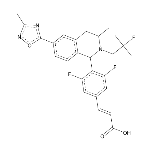 Cc1noc(-c2ccc3c(c2)CC(C)N(CC(C)(C)F)C3c2c(F)cc(/C=C/C(=O)O)cc2F)n1